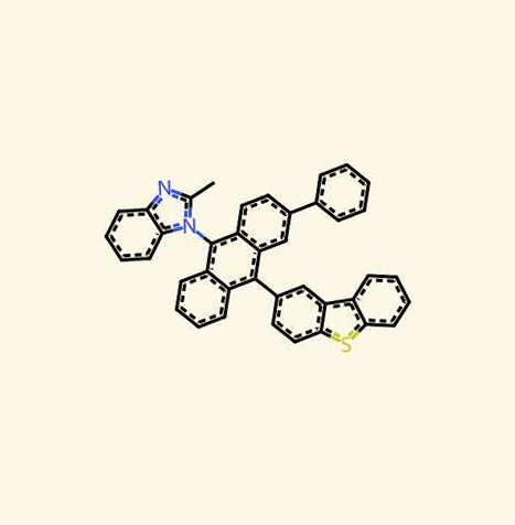 Cc1nc2ccccc2n1-c1c2ccccc2c(-c2ccc3sc4ccccc4c3c2)c2cc(-c3ccccc3)ccc12